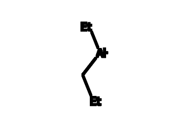 CC[CH2][Al][CH2]C